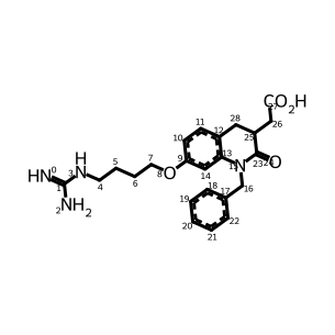 N=C(N)NCCCCOc1ccc2c(c1)N(Cc1ccccc1)C(=O)C(CC(=O)O)C2